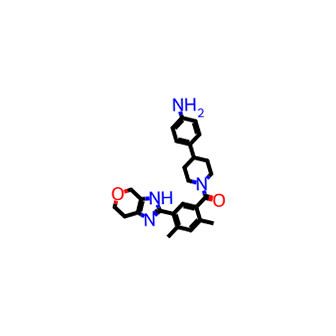 Cc1cc(C)c(-c2nc3c([nH]2)COCC3)cc1C(=O)N1CCC(c2ccc(N)cc2)CC1